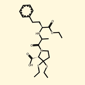 CCOC(=O)[C@H](CCc1ccccc1)NC(C)C(=O)N1CCC(SCC)(SCC)[C@@H]1C(=O)O